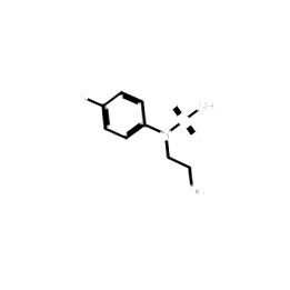 Nc1ccc(N(CCO)S(N)(=O)=O)cc1